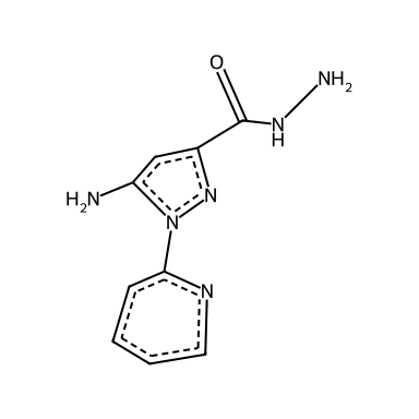 NNC(=O)c1cc(N)n(-c2ccccn2)n1